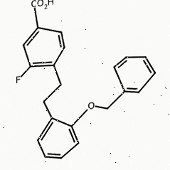 O=C(O)c1ccc(CCc2ccccc2OCc2ccccc2)c(F)c1